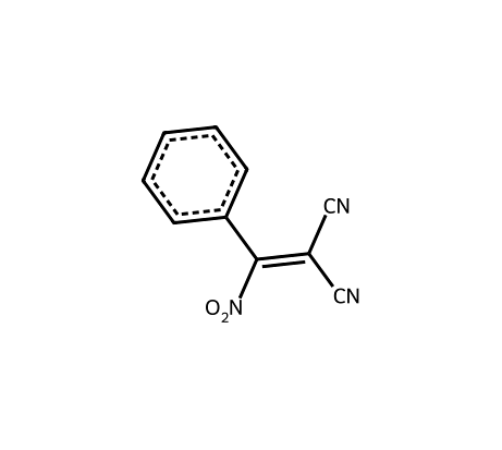 N#CC(C#N)=C(c1ccccc1)[N+](=O)[O-]